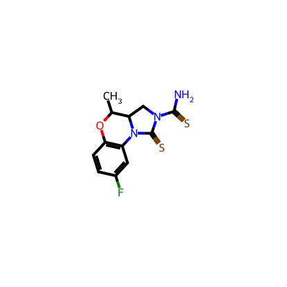 CC1Oc2ccc(F)cc2N2C(=S)N(C(N)=S)CC12